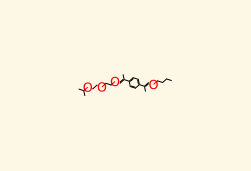 CCCCOC=C(C)c1ccc(C(C)=COCCOCCOC(C)C)cc1